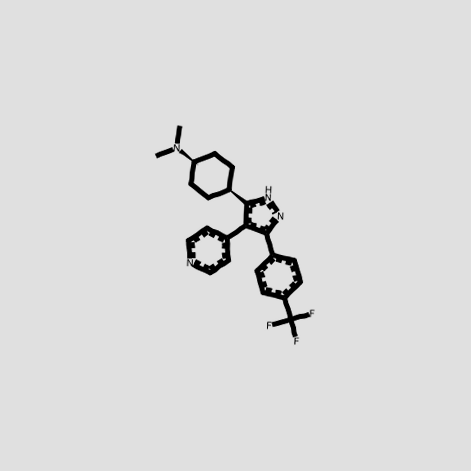 CN(C)[C@H]1CC[C@@H](c2[nH]nc(-c3ccc(C(F)(F)F)cc3)c2-c2ccncc2)CC1